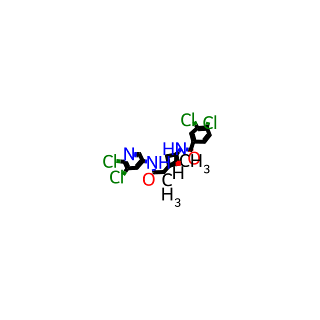 C[C@H](C(=O)Nc1cnc(Cl)c(Cl)c1)C12CC(NC(=O)c3ccc(Cl)c(Cl)c3)(C1)[C@@H]2C